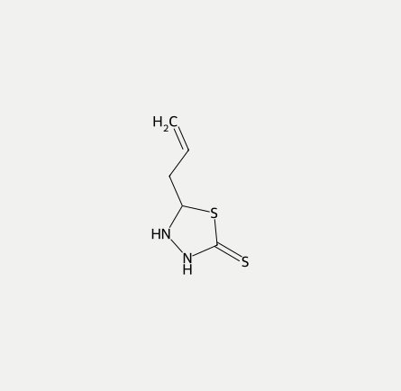 C=CCC1NNC(=S)S1